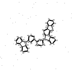 c1cc(-c2ncnc(-n3c4ccccc4c4c5sc6ccccc6c5ccc43)n2)cc(-n2c3ccccc3c3ccccc32)c1